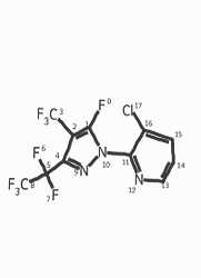 Fc1c(C(F)(F)F)c(C(F)(F)C(F)(F)F)nn1-c1ncccc1Cl